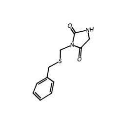 O=C1CNC(=O)N1CSCc1ccccc1